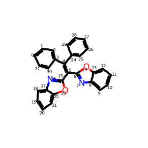 c1ccc(C(=C(c2nc3ccccc3o2)c2nc3ccccc3o2)c2ccccc2)cc1